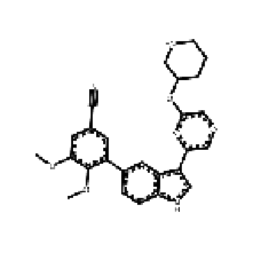 COc1cc(C#N)cc(-c2ccc3[nH]cc(-c4cncc(OC5CCCNC5)n4)c3c2)c1OC